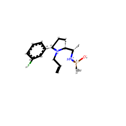 C=CCN1[C@@H]([C@H](C)N[S@@+]([O-])C(C)(C)C)CC[C@H]1c1cccc(F)c1